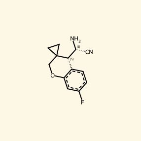 N#C[C@@H](N)[C@@H]1c2ccc(F)cc2OCC12CC2